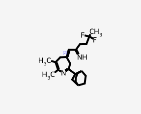 CC1=C(C)N=C(C2CC3CCCC2CC3)C/C(=C\C(=N)CCC(C)(F)F)C1